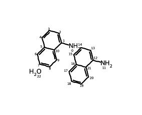 Nc1cccc2ccccc12.Nc1cccc2ccccc12.O